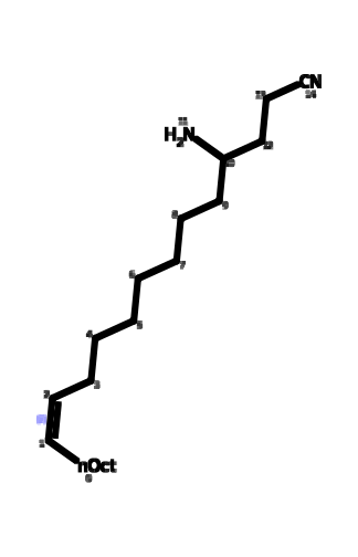 CCCCCCCC/C=C\CCCCCCCC(N)CCC#N